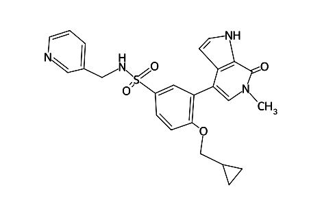 Cn1cc(-c2cc(S(=O)(=O)NCc3cccnc3)ccc2OCC2CC2)c2cc[nH]c2c1=O